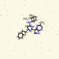 Cc1cnc2[nH]cc(-c3nc(NC4C5CCC(CC5)[C@@H]4C(=O)O)c(F)c(-c4cc5ccccc5s4)n3)c2n1